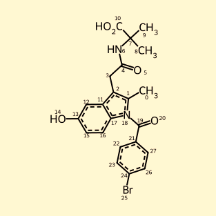 Cc1c(CC(=O)NC(C)(C)C(=O)O)c2cc(O)ccc2n1C(=O)c1ccc(Br)cc1